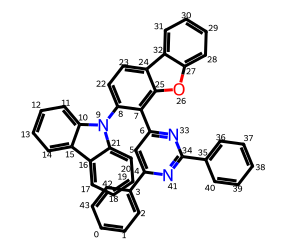 c1ccc(-c2cc(-c3c(-n4c5ccccc5c5ccccc54)ccc4c3oc3ccccc34)nc(-c3ccccc3)n2)cc1